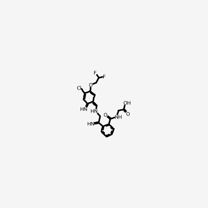 N=C1C=C(Cl)C(OCC(F)F)=C/C1=C/NCC(=N)c1ccccc1C(=O)NCC(=O)O